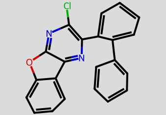 Clc1nc2oc3ccccc3c2nc1-c1ccccc1-c1ccccc1